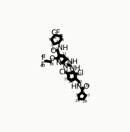 O=C(N[C@H]1CC[C@H](C(F)(F)F)CC1)c1cc2[nH]c(Nc3c(Cl)ccc(CNC(=O)C4CCCC4)c3Cl)nc2nc1OCC(F)F